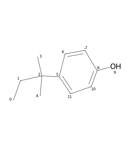 CCC(C)(C)c1c[c]c(O)cc1